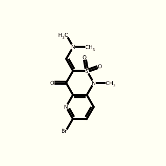 CN(C)/C=C1/C(=O)c2nc(Br)ccc2N(C)S1(=O)=O